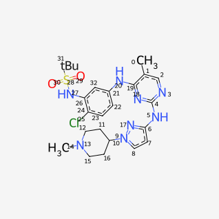 Cc1cnc(Nc2ccn(C3CCN(C)CC3)n2)nc1Nc1ccc(Cl)c(NS(=O)(=O)C(C)(C)C)c1